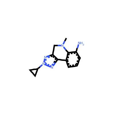 CN1Cc2nn(C3CC3)nc2-c2cccc(N)c21